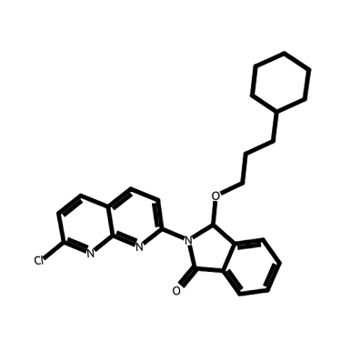 O=C1c2ccccc2C(OCCCC2CCCCC2)N1c1ccc2ccc(Cl)nc2n1